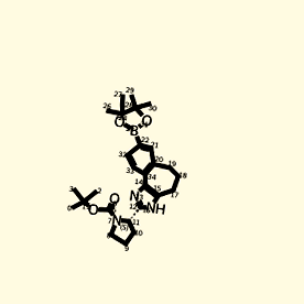 CC(C)(C)OC(=O)N1CCC[C@H]1c1nc2c([nH]1)CCCc1cc(B3OC(C)(C)C(C)(C)O3)ccc1-2